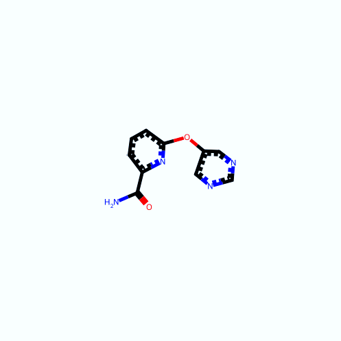 NC(=O)c1[c]ccc(Oc2cncnc2)n1